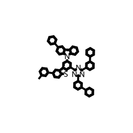 Cc1cccc(-c2ccc3sc4c(-c5nc(-c6cccc(-c7ccccc7)c6)nc(-c6cccc(-c7ccccc7)c6)n5)cc(-n5c6ccccc6c6cc(-c7ccccc7)ccc65)cc4c3c2)c1